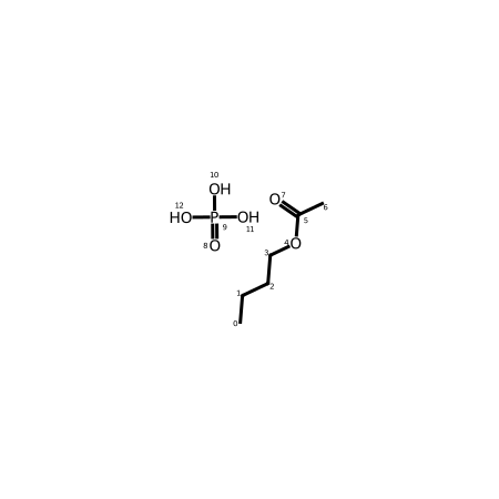 CCCCOC(C)=O.O=P(O)(O)O